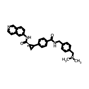 CN(C)Cc1ccc(CNC(=O)c2ccc(C3C[C@H]3C(=O)Nc3ccc4cnccc4c3)cc2)cc1